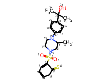 [CH2]C1CN(S(=O)(=O)C2=CC=CCC2=S)CCN1c1ccc(C(C)(O)C(F)(F)F)cc1